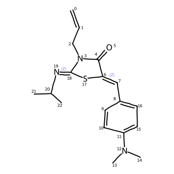 C=CCN1C(=O)/C(=C/c2ccc(N(C)C)cc2)S/C1=N\C(C)C